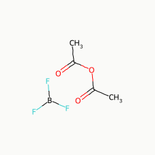 CC(=O)OC(C)=O.FB(F)F